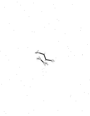 CCCCCCl.CO